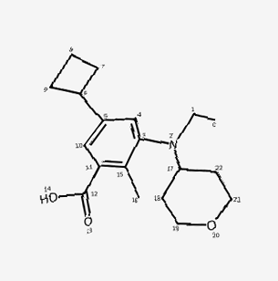 CCN(c1cc(C2CCC2)cc(C(=O)O)c1C)C1CCOCC1